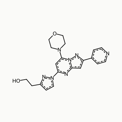 OCCc1ccn(-c2cc(N3CCOCC3)n3nc(-c4ccncc4)cc3n2)n1